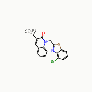 CCOC(=O)Cc1cc2ccccc2n(Cc2nc3c(Br)cccc3s2)c1=O